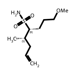 C=CC[C@H](C)[C@@H](CCCOC)S(N)(=O)=O